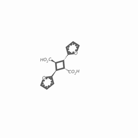 O=C(O)[C@H]1[C@H](c2ccco2)[C@H](C(=O)O)[C@H]1c1ccco1